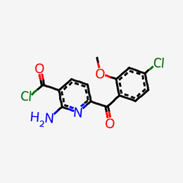 COc1cc(Cl)ccc1C(=O)c1ccc(C(=O)Cl)c(N)n1